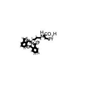 CC(C)C[C@H](NCCCC[C@@H](c1scc2ccccc12)N1C(=O)c2ccccc2C1=O)C(=O)O